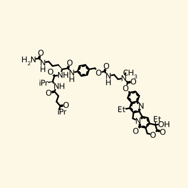 CCc1c2c(nc3ccc(OC(=O)N(C)CCNC(=O)OCc4ccc(NC(=O)[C@H](CCCNC(N)=O)NC(=O)[C@@H](NC(=O)CCC(=O)C(C)C)C(C)C)cc4)cc13)-c1cc3c(c(=O)n1C2)COC(=O)[C@]3(O)CC